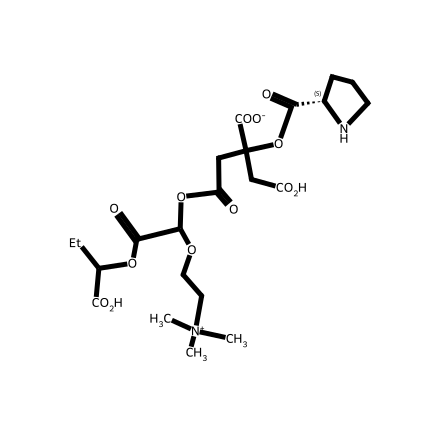 CCC(OC(=O)C(OCC[N+](C)(C)C)OC(=O)CC(CC(=O)O)(OC(=O)[C@@H]1CCCN1)C(=O)[O-])C(=O)O